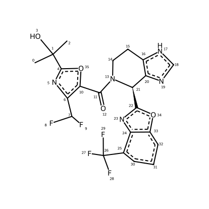 CC(C)(O)c1nc(C(F)F)c(C(=O)N2CCc3[nH]cnc3[C@H]2c2nc3c(C(F)(F)F)cccc3o2)o1